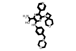 NC(O)c1nc(-c2ccncc2)c(N2CCC23CCOCC3)nc1Nc1ccc(CN2CCOCC2)cc1